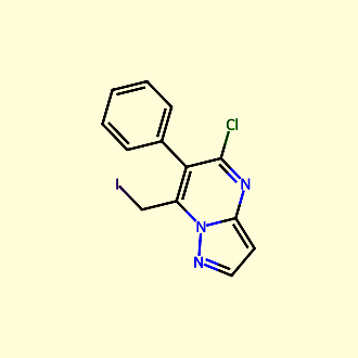 Clc1nc2ccnn2c(CI)c1-c1ccccc1